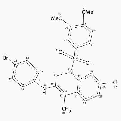 COc1ccc(S(=O)(=O)N2C[C](Nc3ccc(Br)cc3)=[Co]([CH3])[c]3ccc(Cl)cc32)cc1OC